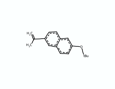 C=C(C)c1ccc2cc(OC(C)(C)C)ccc2c1